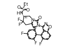 CCS(=O)(=O)N[C@@H]1Cn2c(cn(-c3noc4ccc(F)c(-c5c(F)cc(F)cc5F)c34)c2=O)CC1(F)F